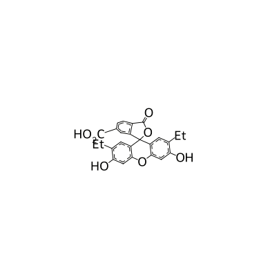 CCc1cc2c(cc1O)Oc1cc(O)c(CC)cc1C21OC(=O)c2ccc(C(=O)O)cc21